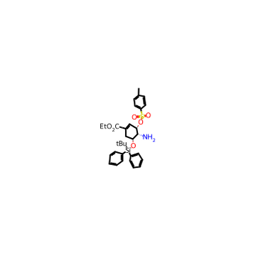 CCOC(=O)C1=C[C@H](OS(=O)(=O)c2ccc(C)cc2)[C@H](N)[C@H](O[Si](c2ccccc2)(c2ccccc2)C(C)(C)C)C1